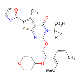 C/C=C\C(=C\OC)C(COc1nc2sc(-c3ncco3)c(C)c2c(=O)n1C1(C(=O)O)CC1)OC1CCOCC1